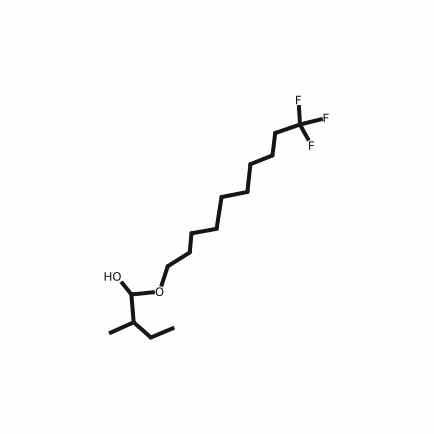 CCC(C)C(O)OCCCCCCCCCC(F)(F)F